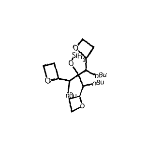 CCCCC(C1CCO1)C(O[SiH3])(C(CCCC)C1CCO1)C(CCCC)C1CCO1